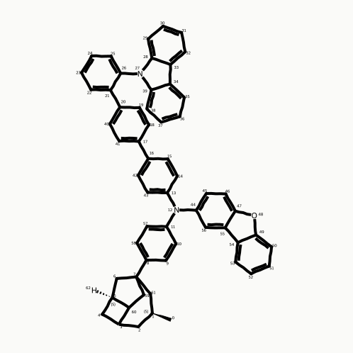 C[C@H]1CC2C[C@H]3CC(c4ccc(N(c5ccc(-c6ccc(-c7ccccc7-n7c8ccccc8c8ccccc87)cc6)cc5)c5ccc6oc7ccccc7c6c5)cc4)(CC23)C1